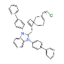 Cl/C=C\C1=CCCC2(CC=C2CC2N(c3ccc(-c4ccccc4)cc3)c3ccccc3N2c2ccc(-c3ccccc3)cc2)C1